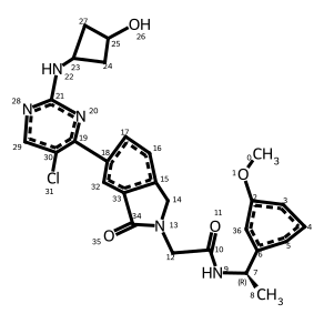 COc1cccc([C@@H](C)NC(=O)CN2Cc3ccc(-c4nc(NC5CC(O)C5)ncc4Cl)cc3C2=O)c1